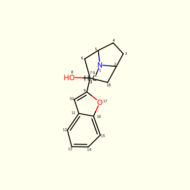 CN1C2CCC1CC(O)(c1cc3ccccc3o1)C2